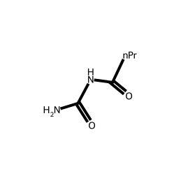 [CH2]CCC(=O)NC(N)=O